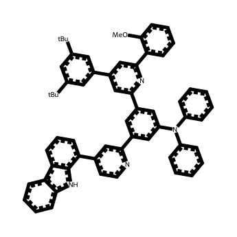 COc1ccccc1-c1cc(-c2cc(C(C)(C)C)cc(C(C)(C)C)c2)cc(-c2cc(-c3cc(-c4cccc5c4[nH]c4ccccc45)ccn3)cc(N(c3ccccc3)c3ccccc3)c2)n1